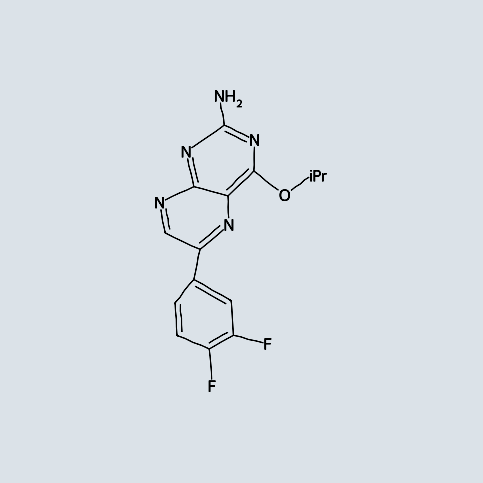 CC(C)Oc1nc(N)nc2ncc(-c3ccc(F)c(F)c3)nc12